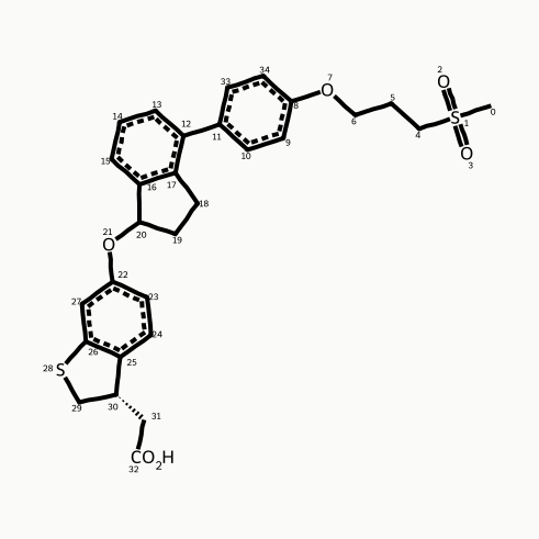 CS(=O)(=O)CCCOc1ccc(-c2cccc3c2CCC3Oc2ccc3c(c2)SC[C@H]3CC(=O)O)cc1